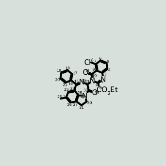 CCOC(=O)c1nc2cccc(Cl)c2c(=O)n1C1N=C(c2ccccc2)c2cc(C)cc3c2N(CC3)C1=O